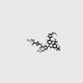 CC[C@@H]1C[C@H](N(Cc2cc(C(F)(F)F)cc(C(F)(F)F)c2)c2ncc(-c3cnn(C)c3)cn2)CN1C(=O)OC1CC(C(=O)OC)C1